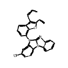 C=Cc1oc2c(-n3c4cc(Cl)ccc4n4c5ccccc5nc34)cccc2c1/C=C\C